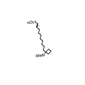 CCCCCCCC/C=C/CCCCCCCCC1([N]C)CCC1